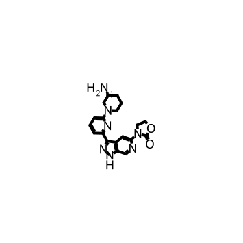 N[C@H]1CCCN(c2cccc(-c3n[nH]c4cnc(N5CCOC5=O)cc34)n2)C1